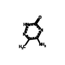 Cc1n[nH]c(=O)nc1N